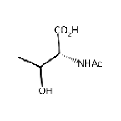 CC(=O)N[C@@H](C(=O)O)C(C)O